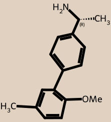 COc1ccc(C)cc1-c1ccc([C@@H](C)N)cc1